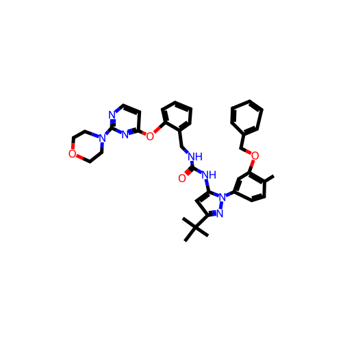 Cc1ccc(-n2nc(C(C)(C)C)cc2NC(=O)NCc2ccccc2Oc2ccnc(N3CCOCC3)n2)cc1OCc1ccccc1